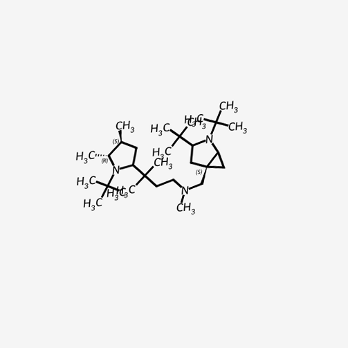 C[C@@H]1[C@@H](C)CC(C(C)(C)CCN(C)C[C@@]23CC(C(C)(C)C)N(C(C)(C)C)C2C3)N1C(C)(C)C